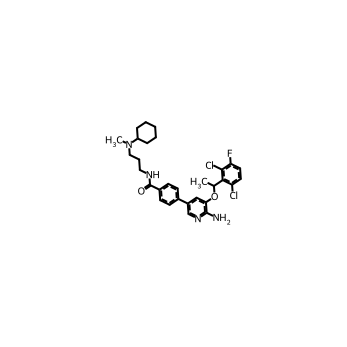 CC(Oc1cc(-c2ccc(C(=O)NCCCN(C)C3CCCCC3)cc2)cnc1N)c1c(Cl)ccc(F)c1Cl